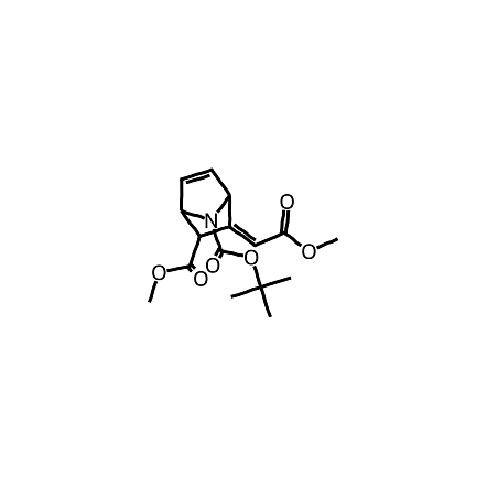 COC(=O)C=C1C(C(=O)OC)C2C=CC1N2C(=O)OC(C)(C)C